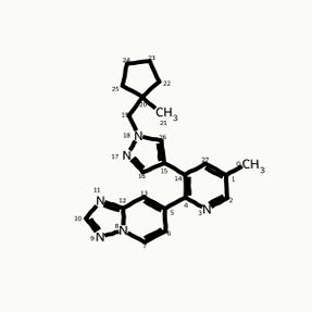 Cc1cnc(-c2ccn3ncnc3c2)c(-c2cnn(CC3(C)CCCC3)c2)c1